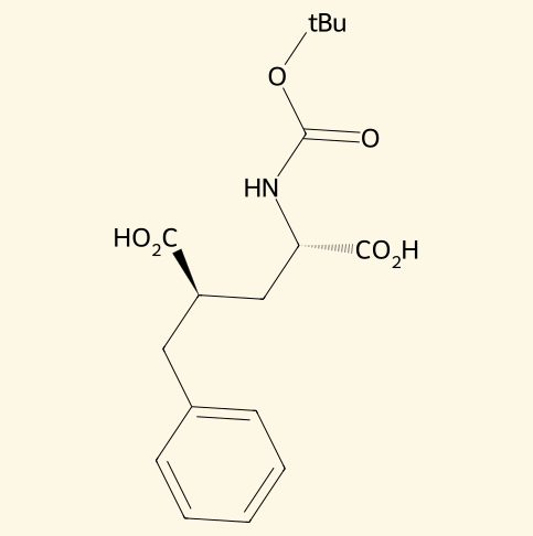 CC(C)(C)OC(=O)N[C@@H](C[C@@H](Cc1ccccc1)C(=O)O)C(=O)O